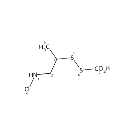 CC(CNCl)SSC(=O)O